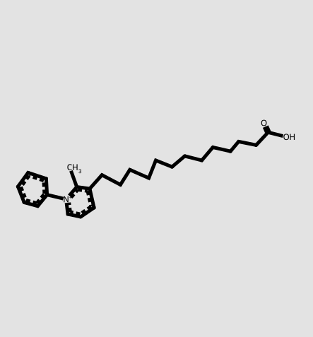 Cc1c(CCCCCCCCCCCCC(=O)O)ccc[n+]1-c1ccccc1